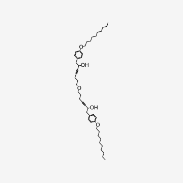 CCCCCCCCCCOc1ccc(CC(O)C#CCCCOCCCC#CC(O)Cc2ccc(OCCCCCCCCCC)cc2)cc1